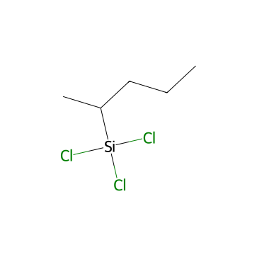 CCCC(C)[Si](Cl)(Cl)Cl